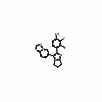 Cc1ccc(-c2nc3n(c2-c2ccc4ncnn4c2)CCC3)c(F)c1F